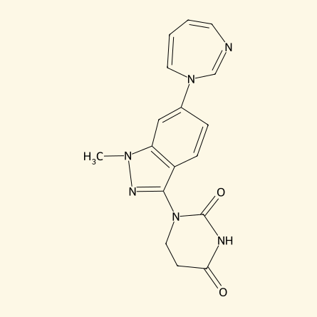 Cn1nc(N2CCC(=O)NC2=O)c2ccc(N3C=CC=CN=C3)cc21